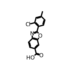 Cc1ccc(-c2nc3ccc(C(=O)O)cc3o2)c(Cl)c1